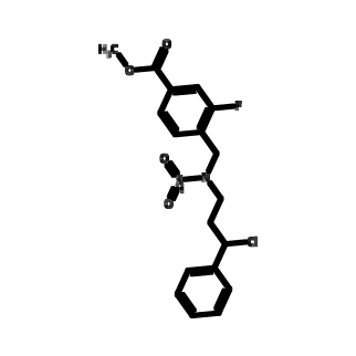 COC(=O)c1ccc(CN(CCC(Cl)c2ccccc2)[SH](=O)=O)c(F)c1